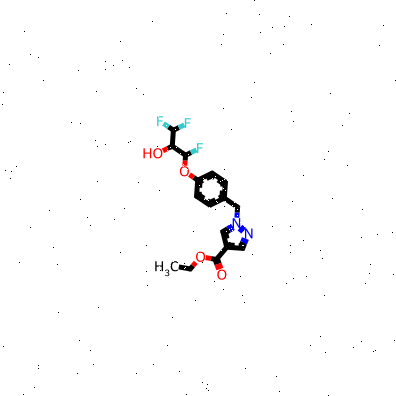 CCOC(=O)c1cnn(Cc2ccc(OC(F)C(O)C(F)F)cc2)c1